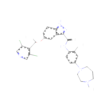 C=C(Nc1ccc(N2CCCN(C)CC2)cc1C)c1n[nH]c2ccc(OC(C)c3c(Cl)cncc3Cl)cc12